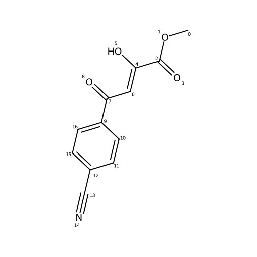 COC(=O)C(O)=CC(=O)c1ccc(C#N)cc1